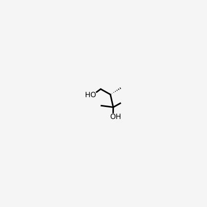 C[C@@H](CO)C(C)(C)O